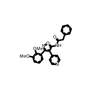 COc1cccc(-c2noc(NC(=O)Cc3ccccc3)c2-c2ccncc2)c1OC